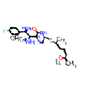 C=C(/C=C\C=C(/C)CCC1CNC(C(NC=O)C(=N)c2ccc(F)cc2)C(=O)N1)OCC